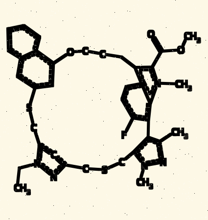 CCn1nc2cc1CSc1cc(c3ccccc3c1)OCCCc1c(C(=O)OC)n(C)c3c(c(F)ccc13)-c1c(C)nn(C)c1CSC2